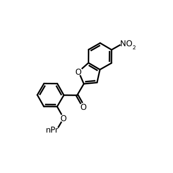 CCCOc1ccccc1C(=O)c1cc2cc([N+](=O)[O-])ccc2o1